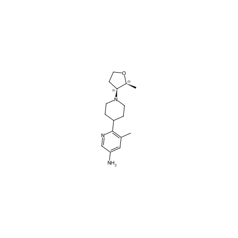 Cc1cc(N)cnc1C1CCN([C@H]2CCO[C@H]2C)CC1